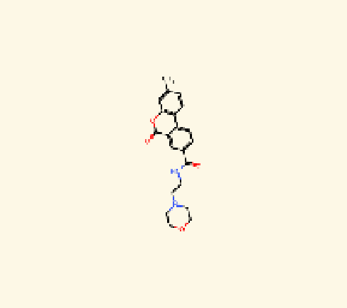 Cc1ccc2c(c1)oc(=O)c1cc(C(=O)NCCN3CCOCC3)ccc12